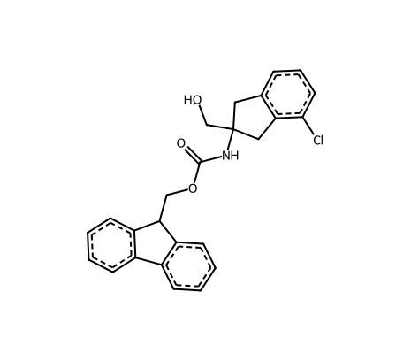 O=C(NC1(CO)Cc2cccc(Cl)c2C1)OCC1c2ccccc2-c2ccccc21